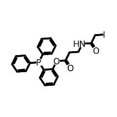 O=C(CI)NCCC(=O)Oc1ccccc1P(c1ccccc1)c1ccccc1